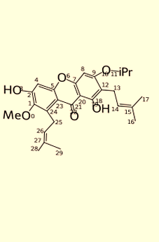 COc1c(O)cc2oc3cc(OC(C)C)c(CC=C(C)C)c(O)c3c(=O)c2c1CC=C(C)C